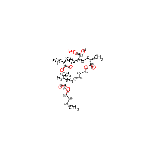 C=C(C)C(=O)OC.C=C(CC=C(C)C(=O)O)C(=O)OCCCC.C=CC(=O)OCCCC